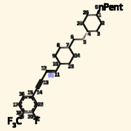 CCCCC[C@H]1CC[C@H](CCC2CCC(/C=C/C#Cc3ccc(C(F)(F)F)c(F)c3)CC2)CC1